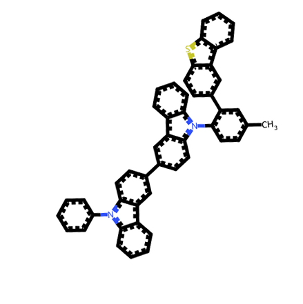 Cc1ccc(-n2c3ccccc3c3cc(-c4ccc5c(c4)c4ccccc4n5-c4ccccc4)ccc32)c(-c2ccc3sc4ccccc4c3c2)c1